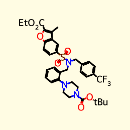 CCOC(=O)c1oc2ccc(S(=O)(=O)N(Cc3ccc(C(F)(F)F)cc3)Cc3ccccc3N3CCN(C(=O)OC(C)(C)C)CC3)cc2c1C